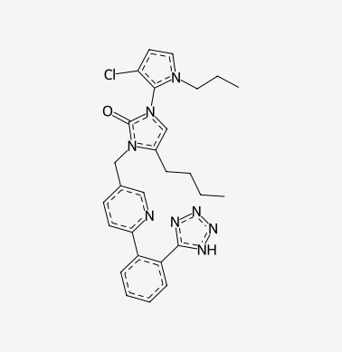 CCCCc1cn(-c2c(Cl)ccn2CCC)c(=O)n1Cc1ccc(-c2ccccc2-c2nnn[nH]2)nc1